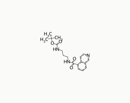 CC(C)(C)OC(=O)NCCCNS(=O)(=O)c1cccc2cnccc12